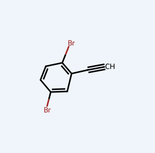 C#Cc1cc(Br)ccc1Br